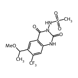 COC(C)c1cc2c(=O)n(NS(C)(=O)=O)c(=O)[nH]c2cc1C(F)(F)F